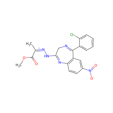 COC(=O)/C(C)=N\NC1=Nc2ccc([N+](=O)[O-])cc2C(c2ccccc2Cl)=NC1